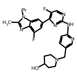 Cc1nc2c(F)cc(-c3nc(Nc4ccc(CN5CCC(O)CC5)cn4)ncc3F)cc2n1C(C)C